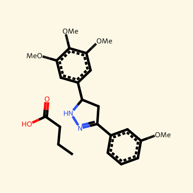 CCCC(=O)O.COc1cccc(C2=NNC(c3cc(OC)c(OC)c(OC)c3)C2)c1